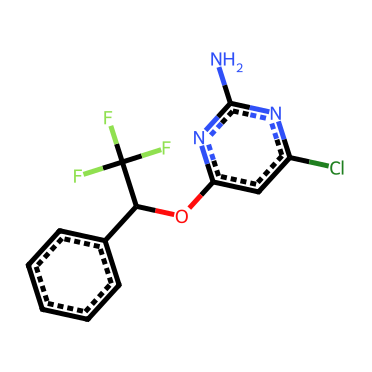 Nc1nc(Cl)cc(OC(c2ccccc2)C(F)(F)F)n1